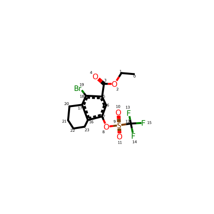 CCOC(=O)c1cc(OS(=O)(=O)C(F)(F)F)c2c(c1Br)CCCC2